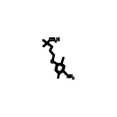 Cc1cc(OCCCC(C)(C)C(=O)O)c(C)cc1N